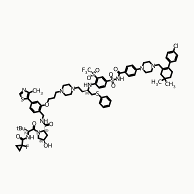 Cc1ncsc1-c1ccc(CNC(=O)[C@@H]2C[C@@H](O)CN2C(=O)[C@@H](NC(=O)C2(F)CC2)C(C)(C)C)c(OCCCN2CCN(CC[C@H](CSc3ccccc3)Nc3ccc(S(=O)(=O)NC(=O)c4ccc(N5CCN(CC6=C(c7ccc(Cl)cc7)CCC(C)(C)C6)CC5)cc4)cc3S(=O)(=O)C(F)(F)F)CC2)c1